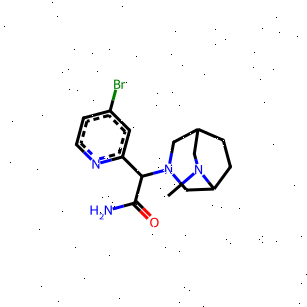 CN1CC2CCC1CN(C(C(N)=O)c1cc(Br)ccn1)C2